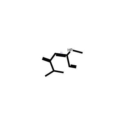 C=C/C(=C\C(=C)C(C)C)PC